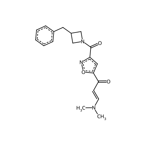 CN(C)C=CC(=O)c1cc(C(=O)N2CC(Cc3ccccc3)C2)no1